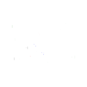 CC(C)Oc1nc(Oc2ccc(F)c(F)c2)c(-c2ccc(Cl)cc2)c(-c2ccc(Cl)cc2Cl)n1